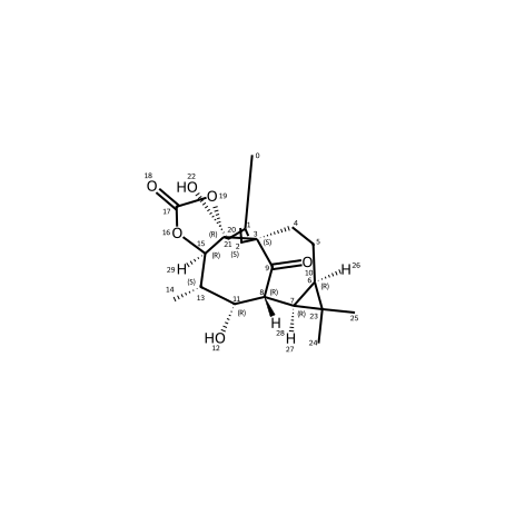 CC1=C[C@]23CC[C@@H]4[C@H]([C@@H](C2=O)[C@H](O)[C@H](C)[C@H]2OC(=O)O[C@]23[C@H]1O)C4(C)C